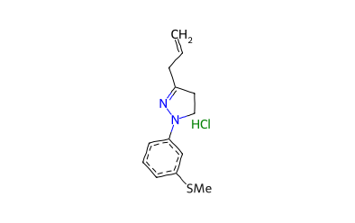 C=CCC1=NN(c2cccc(SC)c2)CC1.Cl